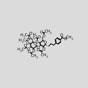 COC(=O)c1ccc(CCC[C@H]2O[C@H](COC(C)=O)[C@@H](OC(C)=O)[C@H](O[C@H]3O[C@H](COC(C)=O)[C@@H](OC(C)=O)[C@@H](OC(C)=O)[C@H]3OC(C)=O)[C@@H]2OC(C)=O)cc1